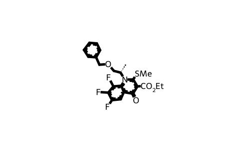 CCOC(=O)c1c(SC)n([C@@H](C)COCc2ccccc2)c2c(F)c(F)c(F)cc2c1=O